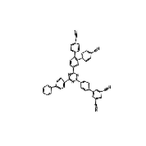 N#Cc1ccc(-c2ccc(-c3nc(-c4ccc(-c5ccccc5)cc4)nc(-c4ccc(-c5cc(C#N)cc(C#N)c5)cc4)n3)cc2-c2ccc(C#N)cc2)cc1